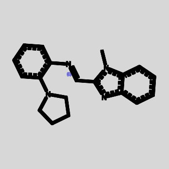 Cn1c(/C=N/c2ccccc2N2CCCC2)nc2ccccc21